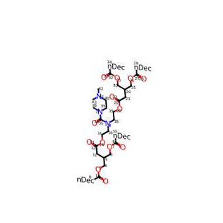 CCCCCCCCCCC(=O)OCC(COC(=O)CCCCCCCCCC)CC(=O)OCCN(CCOC(=O)CC(COC(=O)CCCCCCCCCC)COC(=O)CCCCCCCCCC)C(=O)N(C)CCN(C)C